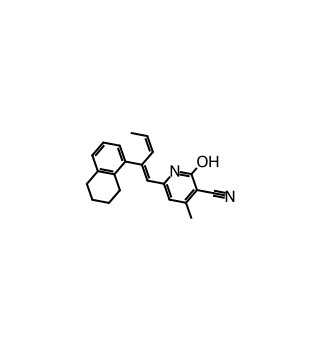 C/C=C\C(=C/c1cc(C)c(C#N)c(O)n1)c1cccc2c1CCCC2